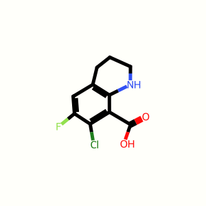 O=C(O)c1c(Cl)c(F)cc2c1NCCC2